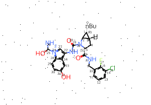 CCCC[C@H]1C2[C@H]1C[C@@H](C(=O)NCc1cccc(Cl)c1F)N2C(=O)Nc1cn(C(N)O)c2ccc(O)cc12